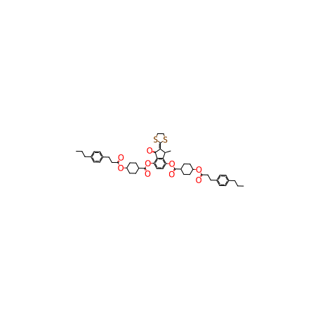 CCCc1ccc(CCC(=O)OC2CCC(C(=O)Oc3ccc(OC(=O)C4CCC(OC(=O)CCc5ccc(CCC)cc5)CC4)c4c3C(=O)C(=C3SCCS3)C4C)CC2)cc1